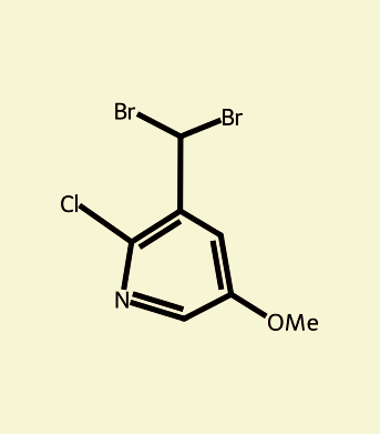 COc1cnc(Cl)c(C(Br)Br)c1